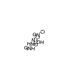 CC(=O)NCCNC(=O)c1ncc2c(=O)n(Cc3ccccc3)ccc2c1O